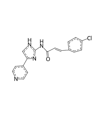 O=C(C=Cc1ccc(Cl)cc1)Nc1nc(-c2ccncc2)c[nH]1